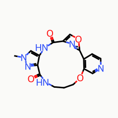 Cn1cc2c(n1)C(=O)NCCCOc1cnccc1-c1nc(co1)C(=O)N2